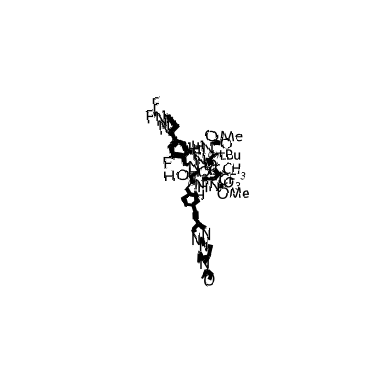 COC(=O)NC(C(=O)N[C@@H](Cc1ccc(C#Cc2cnc(N3CC4CC3=CN4C3COC3)nc2)cc1)[C@@H](O)CN(Cc1c(F)cc(-c2ccn(C(F)F)n2)cc1F)NC(=O)[C@@H](NC(=O)OC)C(C)(C)C)C(C)(C)C(F)(F)F